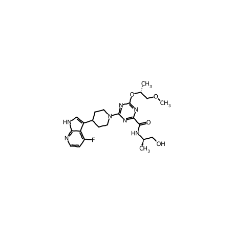 COC[C@@H](C)Oc1nc(C(=O)N[C@H](C)CO)nc(N2CCC(c3c[nH]c4nccc(F)c34)CC2)n1